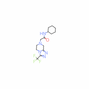 O=C(CN1CCn2c(nnc2C(F)(F)F)C1)NC1CCCCC1